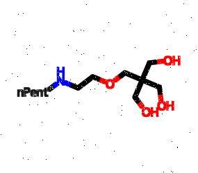 CCCCCNCCOCC(CO)(CO)CO